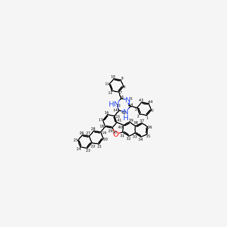 c1ccc(C2=NC(c3ccccc3)NC(c3ccc(-c4ccc5ccccc5c4)c4oc5cc6ccccc6cc5c34)N2)cc1